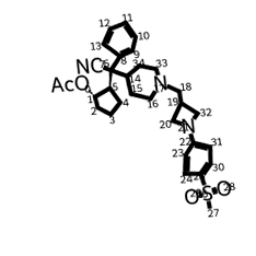 CC(=O)O[C@H]1CCC[C@@H]1C(C#N)(c1ccccc1)C1CCN(CC2CN(c3ccc(S(C)(=O)=O)cc3)C2)CC1